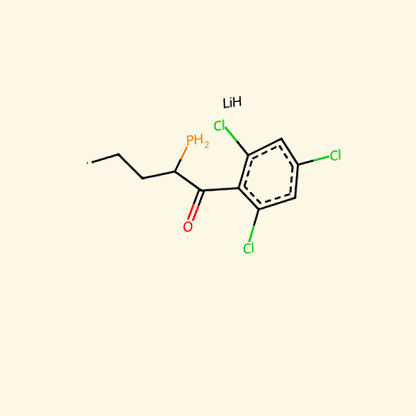 [CH2]CCC(P)C(=O)c1c(Cl)cc(Cl)cc1Cl.[LiH]